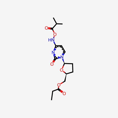 CCC(=O)OC[C@@H]1CC[C@H](n2ccc(NOC(=O)C(C)C)nc2=O)O1